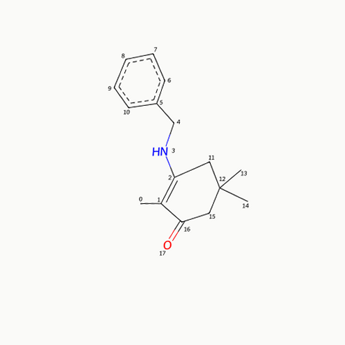 CC1=C(NCc2ccccc2)CC(C)(C)CC1=O